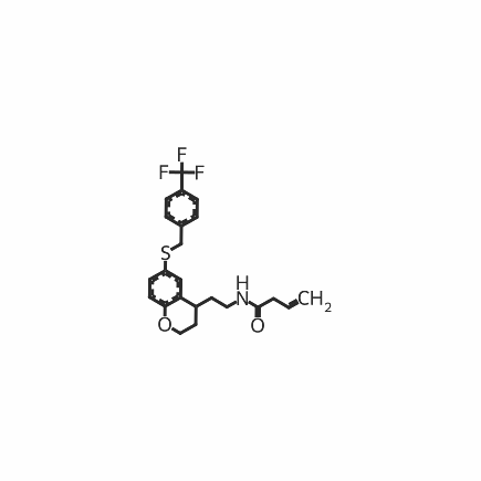 C=CCC(=O)NCCC1CCOc2ccc(SCc3ccc(C(F)(F)F)cc3)cc21